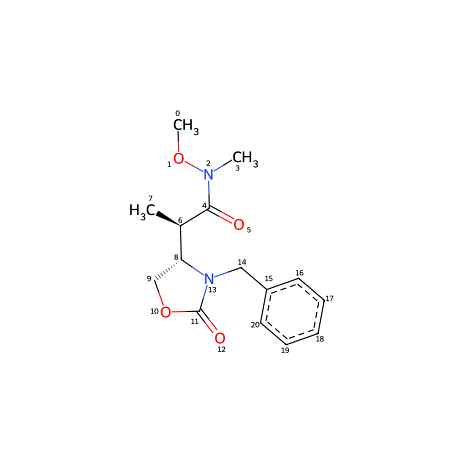 CON(C)C(=O)[C@H](C)[C@H]1COC(=O)N1Cc1ccccc1